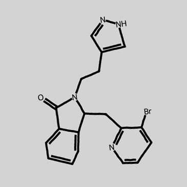 O=C1c2ccccc2C(Cc2ncccc2Br)N1CCc1cn[nH]c1